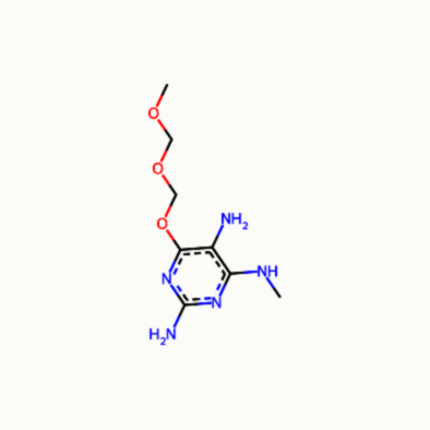 CNc1nc(N)nc(OCOCOC)c1N